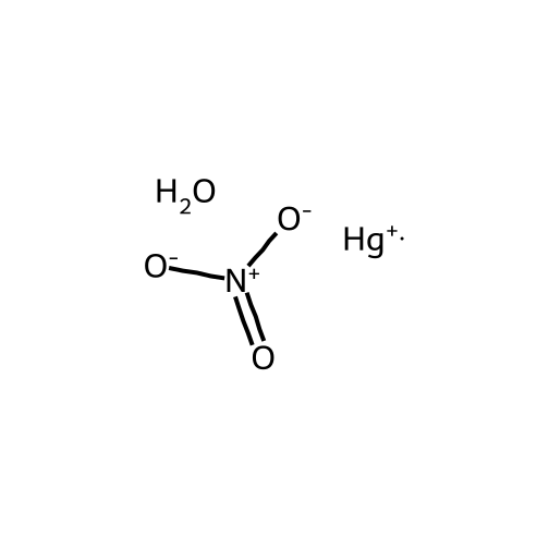 O.O=[N+]([O-])[O-].[Hg+]